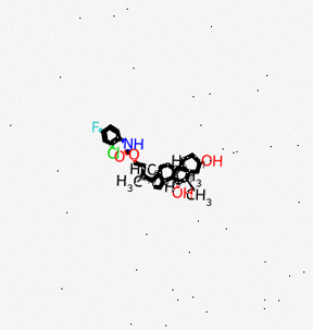 CC[C@@H]1C2C[C@H](O)CC[C@]2(C)[C@H]2CC[C@]3(C)[C@@H]([C@H](C)CCOC(=O)Nc4ccc(F)cc4Cl)CC[C@H]3C2[C@@H]1O